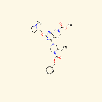 CN1CCC[C@H]1COc1nc2c(c(N3CCN(C(=O)OCc4ccccc4)C(CC#N)C3)n1)CCN(C(=O)OC(C)(C)C)C2